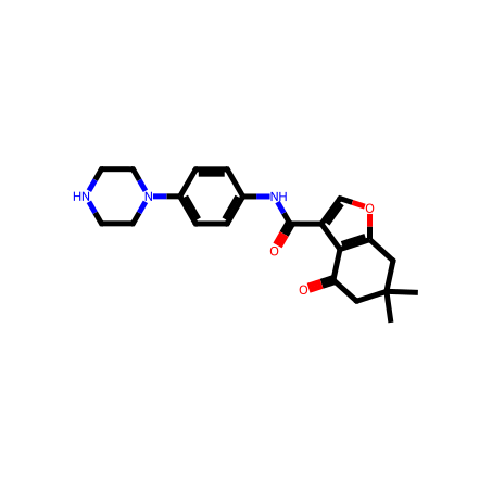 CC1(C)CC(=O)c2c(C(=O)Nc3ccc(N4CCNCC4)cc3)coc2C1